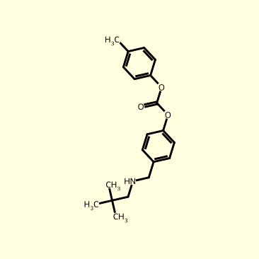 Cc1ccc(OC(=O)Oc2ccc(CNCC(C)(C)C)cc2)cc1